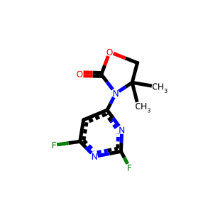 CC1(C)COC(=O)N1c1cc(F)nc(F)n1